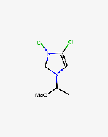 COC(C)N1C=C(Cl)N(Cl)C1